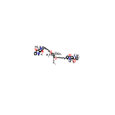 CCCCCCCCC1(CCCCCCCC)c2cc(OCCCCCCCCc3ccc4c(c3)c(=O)c3cc5c(cc3n4C)c(=O)c3ccccc3n5C)c(C)cc2-c2cc(C)c(OCCCCCCCCc3ccc4c(=O)c5cc6c(cc5n(C)c4c3)c(=O)c3ccccc3n6C)cc21